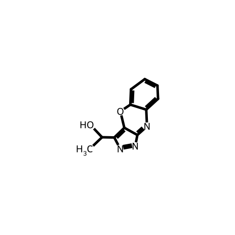 CC(O)c1nnc2nc3ccccc3oc1-2